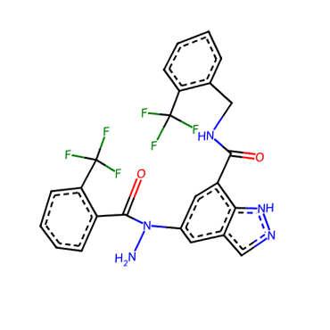 NN(C(=O)c1ccccc1C(F)(F)F)c1cc(C(=O)NCc2ccccc2C(F)(F)F)c2[nH]ncc2c1